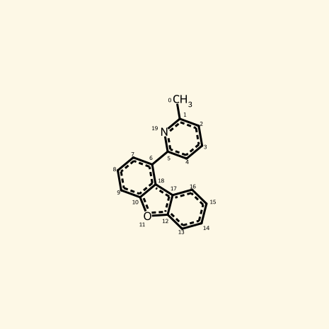 Cc1cccc(-c2cccc3oc4ccccc4c23)n1